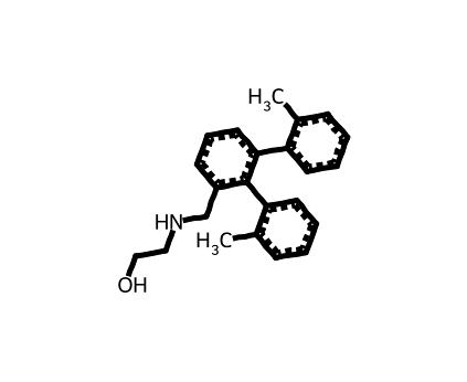 Cc1ccccc1-c1cccc(CNCCO)c1-c1ccccc1C